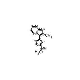 CNc1nc(-c2c(C)nc3ncccn23)cs1